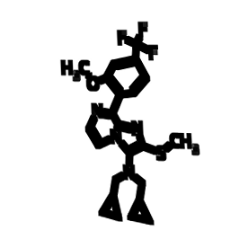 COc1cc(C(F)(F)F)ccc1-c1nccn2c(N(CC3CC3)CC3CC3)c(SC)nc12